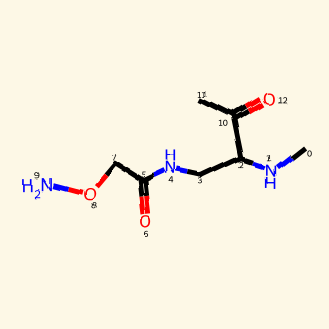 CNC(CNC(=O)CON)C(C)=O